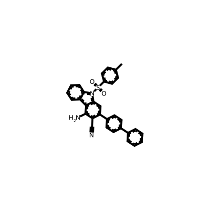 Cc1ccc(S(=O)(=O)n2c3ccccc3c3c(N)c(C#N)c(-c4ccc(-c5ccccc5)cc4)cc32)cc1